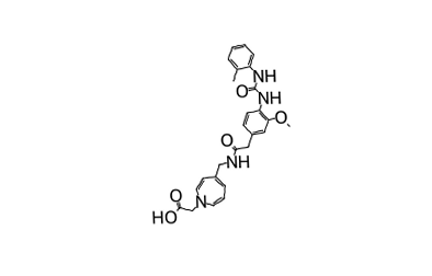 COc1cc(CC(=O)NCC2=CC=CN(CC(=O)O)C=C2)ccc1NC(=O)Nc1ccccc1C